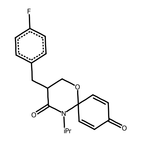 CC(C)N1C(=O)C(Cc2ccc(F)cc2)COC12C=CC(=O)C=C2